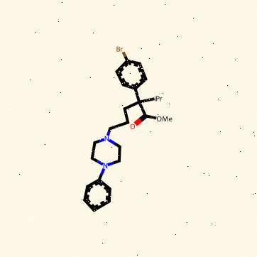 COC(=O)C(CCCN1CCN(c2ccccc2)CC1)(c1ccc(Br)cc1)C(C)C